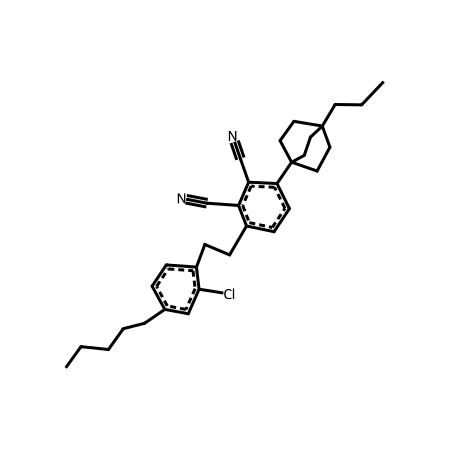 CCCCCc1ccc(CCc2ccc(C34CCC(CCC)(CC3)CC4)c(C#N)c2C#N)c(Cl)c1